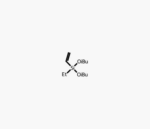 C=C[Si](CC)(OCC(C)C)OCC(C)C